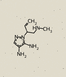 C=CC(CNC)n1ncc(N)c1N